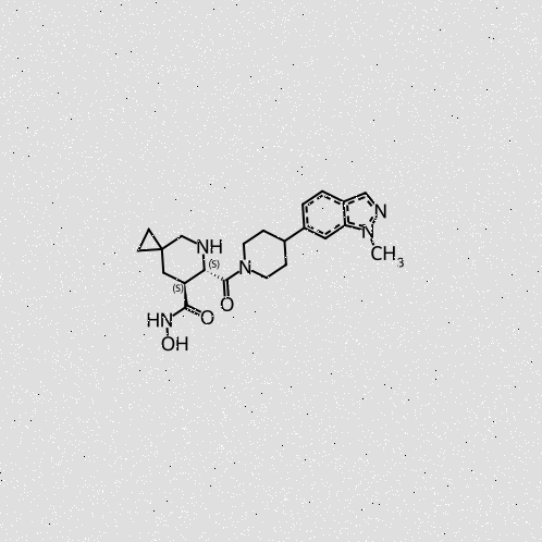 Cn1ncc2ccc(C3CCN(C(=O)[C@H]4NCC5(CC5)C[C@@H]4C(=O)NO)CC3)cc21